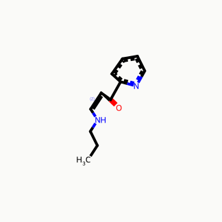 CCCN/C=C\C(=O)c1ccccn1